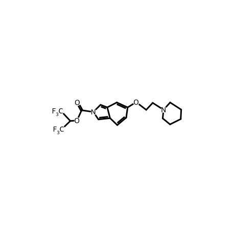 O=C(OC(C(F)(F)F)C(F)(F)F)n1cc2ccc(OCCN3CCCCC3)cc2c1